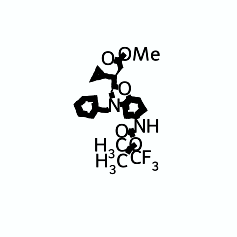 COC(=O)C[C@H](C1CC1)[C@H]1CN(Cc2ccccc2)c2cc(NC(=O)OC(C)(C)C(F)(F)F)ccc2O1